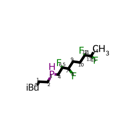 CCC(C)CCPCC(F)C(F)CCC(F)C(C)F